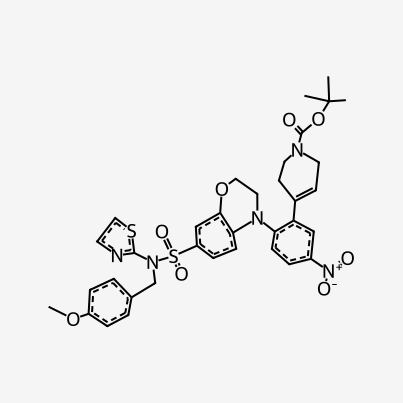 COc1ccc(CN(c2nccs2)S(=O)(=O)c2ccc3c(c2)OCCN3c2ccc([N+](=O)[O-])cc2C2=CCN(C(=O)OC(C)(C)C)CC2)cc1